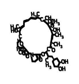 CO[C@H]1C(=O)[C@H](C)C[C@H](C)/C=C/C=C/C=C(\C)[C@@H](O)C[C@@H]2CC[C@@H](C)[C@@](O)(O2)C(=O)C(=O)N2CCCC[C@H]2C(=O)O[C@H]([C@H](C)C[C@@H]2CC[C@@H](O)[C@H](O)C2)CC(=O)[C@H](C)/C=C(\C)[C@H]1O